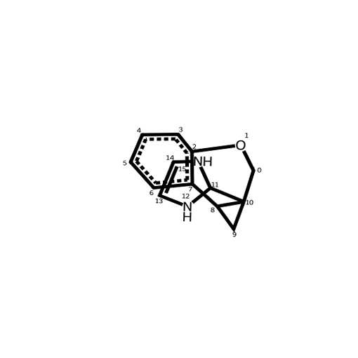 [CH]1Oc2ccccc2C2CC12C1NC=CN1